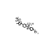 Cc1nc(N2CCN(S(=O)(=O)c3ccc(OC(F)(F)F)cc3)[C@@H](C(=O)O)C2)sc1S(=O)(=O)N(C)C